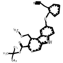 COCc1c(C(=O)OC(C)(C)C)ncc2[nH]c3ccc(Oc4ccccc4C#N)cc3c12